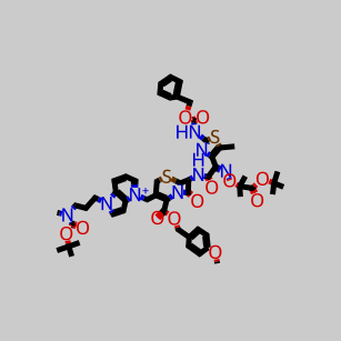 COc1ccc(COC(=O)C2=C(C[n+]3cccc4c3ccn4CCCN(C)C(=O)OC(C)(C)C)CSC3C(NC(=O)/C(=N\OC(C)(C)C(=O)OC(C)(C)C)c4nc(NC(=O)OCc5ccccc5)sc4C)C(=O)N23)cc1